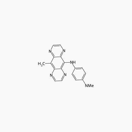 CNc1ccc(Nc2c3nccnc3c(C)c3nccnc23)cc1